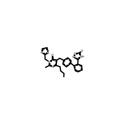 CCCCc1nc(C)n(Cc2nccs2)c(=O)c1Cc1ccc(-c2ccccc2-c2noc(=O)[nH]2)cc1